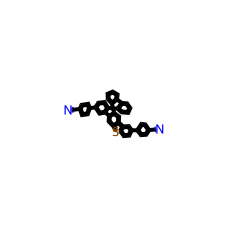 N#Cc1ccc(-c2ccc3c(c2)-c2cc4sc5ccc(-c6ccc(C#N)cc6)cc5c4cc2C32c3ccccc3-c3ccccc32)cc1